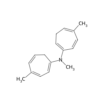 CC1=CC=C(N(C)C2=CCC=C(C)C=C2)CC=C1